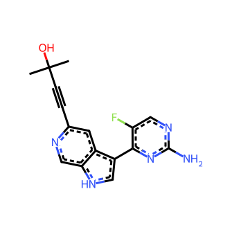 CC(C)(O)C#Cc1cc2c(-c3nc(N)ncc3F)c[nH]c2cn1